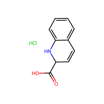 Cl.O=C(O)C1C=Cc2ccccc2N1